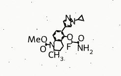 COC(=O)N1c2ccc(-c3cnn(C4CC4)c3)c(O[C@H](F)C(N)=O)c2CC[C@@H]1C